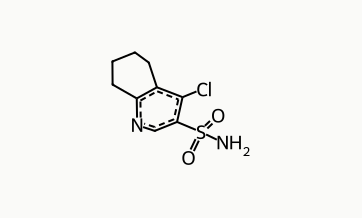 NS(=O)(=O)c1cnc2c(c1Cl)CCCC2